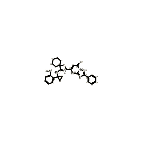 COc1ccccc1C1(NC(=O)C2(OCc3cc(=O)n4nc(-c5ccccc5)nc4[nH]3)CCCCC2)CC1